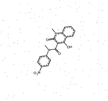 CN(C(=O)c1c(O)c2ccccc2n(C)c1=O)c1ccc([N+](=O)[O-])cc1